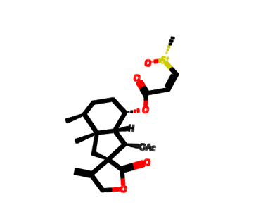 C=C1COC(=O)[C@]12C[C@@]1(C)[C@H]([C@@H](OC(=O)/C=C\[S@@+](C)[O-])CC[C@@H]1C)[C@H]2OC(C)=O